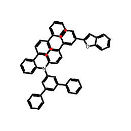 c1ccc(-c2ccc(-c3ccccc3N(c3ccc(-c4cccc(-c5cc6ccccc6o5)c4)cc3)c3cc(-c4ccccc4)cc(-c4ccccc4)c3)cc2)cc1